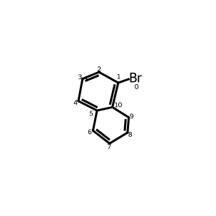 Brc1c[c]cc2ccccc12